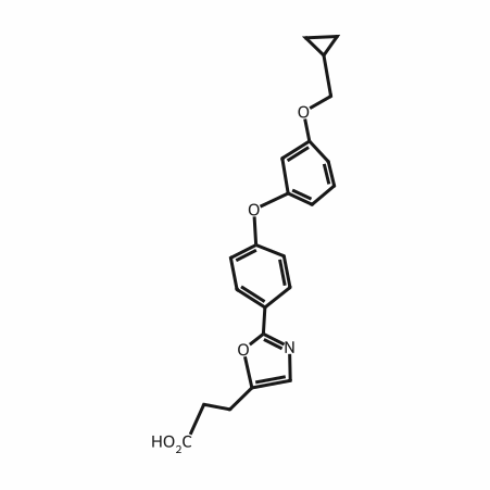 O=C(O)CCc1cnc(-c2ccc(Oc3cccc(OCC4CC4)c3)cc2)o1